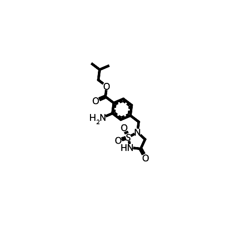 CC(C)COC(=O)c1ccc(CN2CC(=O)NS2(=O)=O)cc1N